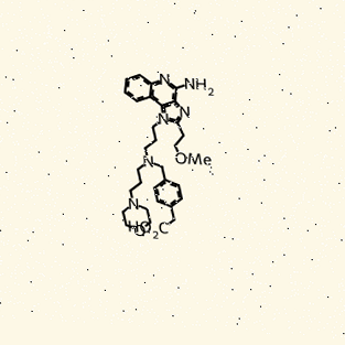 COCCc1nc2c(N)nc3ccccc3c2n1CCCN(CCCN1CCOCC1)Cc1ccc(CC(=O)O)cc1